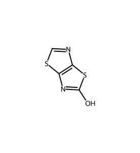 Oc1nc2scnc2s1